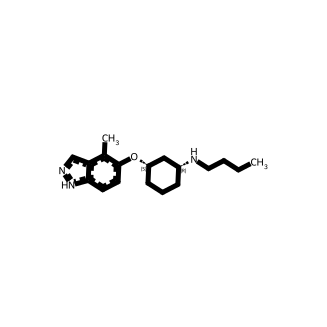 CCCCN[C@@H]1CCC[C@H](Oc2ccc3[nH]ncc3c2C)C1